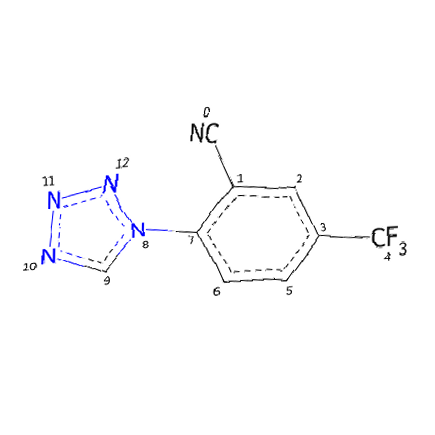 N#Cc1cc(C(F)(F)F)ccc1-n1cnnn1